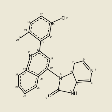 O=C1NC2=CN=CCC2N1c1cc(-c2cc(Cl)ccc2F)nc2ccccc12